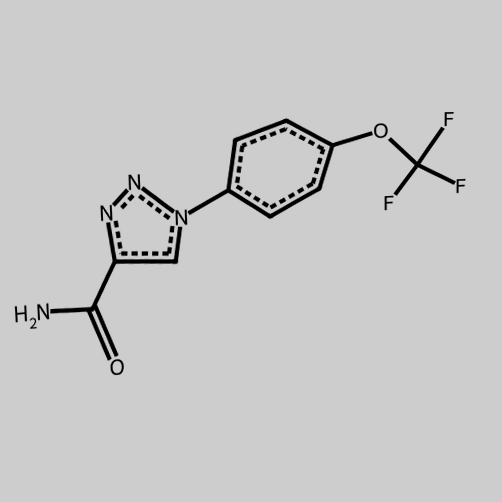 NC(=O)c1cn(-c2ccc(OC(F)(F)F)cc2)nn1